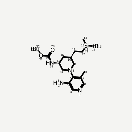 Cc1cncc(N)c1N1C[C@H](CC[SiH](C)C(C)(C)C)C[C@H](NC(=O)OC(C)(C)C)C1